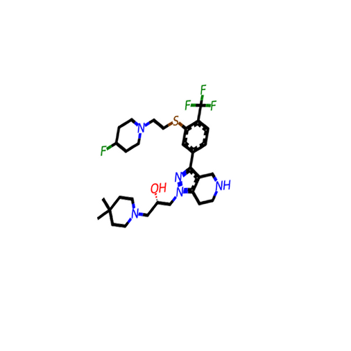 CC1(C)CCN(C[C@H](O)Cn2nc(-c3ccc(C(F)(F)F)c(SCCN4CCC(F)CC4)c3)c3c2CCNC3)CC1